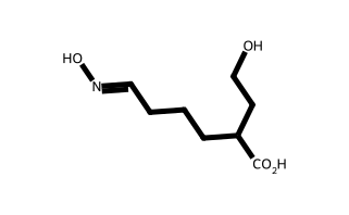 O=C(O)C(CCO)CCCC=NO